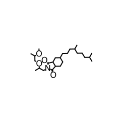 COC(C)COC(C)CN1C(=O)C2CCC(CCCC(C)CCCC(C)C)CC2C1=O